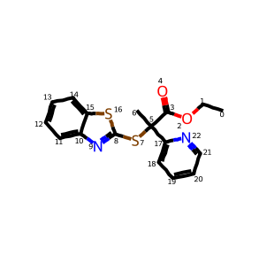 CCOC(=O)C(C)(Sc1nc2ccccc2s1)c1ccccn1